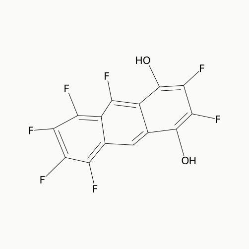 Oc1c(F)c(F)c(O)c2c(F)c3c(F)c(F)c(F)c(F)c3cc12